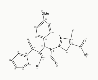 CCCC(=O)C1=C(C)N=C(N2C(=O)C(O)=C(C(=O)c3ccccc3)C2c2ccc(OC)cc2)C1